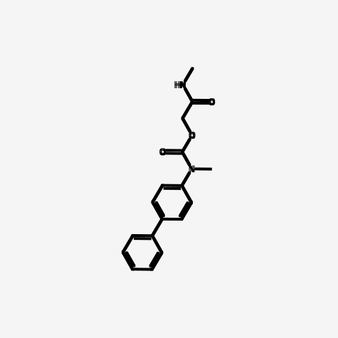 CNC(=O)COC(=O)N(C)c1ccc(-c2ccccc2)cc1